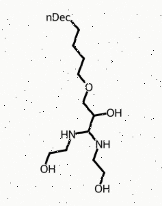 CCCCCCCCCCCCCCOCC(O)C(NCCO)NCCO